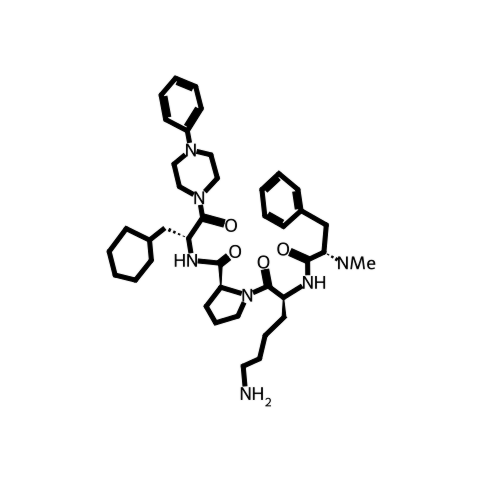 CN[C@@H](Cc1ccccc1)C(=O)N[C@@H](CCCCN)C(=O)N1CCC[C@H]1C(=O)N[C@H](CC1CCCCC1)C(=O)N1CCN(c2ccccc2)CC1